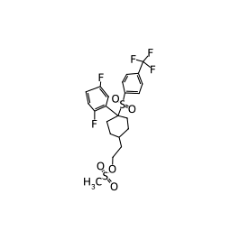 CS(=O)(=O)OCCC1CCC(c2cc(F)ccc2F)(S(=O)(=O)c2ccc(C(F)(F)F)cc2)CC1